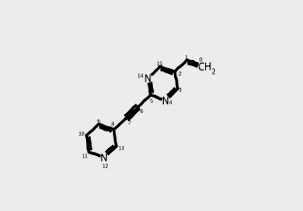 C=Cc1cnc(C#Cc2cccnc2)nc1